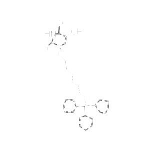 Cc1cn(CCCCCCCOC(c2ccccc2)(c2ccccc2)c2ccccc2)c(=O)[nH]c1=O